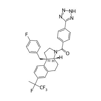 CC(F)(c1ccc2c(c1)CC[C@H]1N(C(=O)c3ccc(-c4nn[nH]n4)cc3)CC[C@@]21Cc1ccc(F)cc1)C(F)(F)F